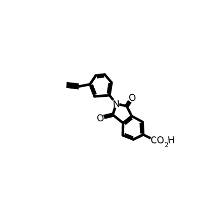 C#Cc1cccc(N2C(=O)c3ccc(C(=O)O)cc3C2=O)c1